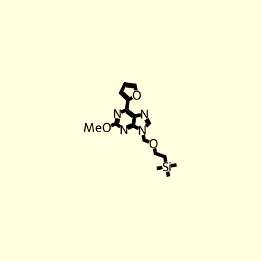 COc1nc(-c2ccco2)c2ncn(COCC[Si](C)(C)C)c2n1